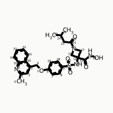 Cc1cc(COc2ccc(S(=O)(=O)NC3(C(=O)NO)CN(C(=O)CC(C)C)C3)cc2)c2ccccc2n1